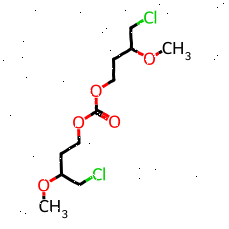 COC(CCl)CCOC(=O)OCCC(CCl)OC